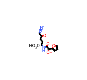 [N-]=[N+]=CC(=O)CC[C@H](NC(=O)[C@@H](O)c1ccco1)C(=O)O